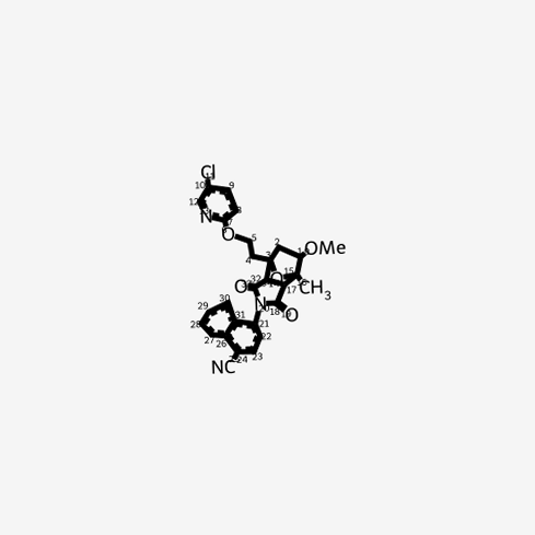 COC1CC2(CCOc3ccc(Cl)cn3)OC1(C)C1C(=O)N(c3ccc(C#N)c4ccccc34)C(=O)C12